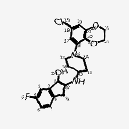 OC1c2cc(F)ccc2CC1NC1CCN(c2cc(Cl)cc3c2OCCO3)CC1